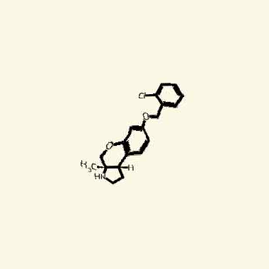 C[C@@]12COc3cc(OCc4ccccc4Cl)ccc3[C@@H]1CCN2